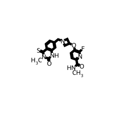 CNC(=O)c1ccc(OC2CN(Cc3ccc4c(=S)n(C)c(=O)[nH]c4c3)C2)c(F)n1